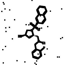 CCN(Cc1ccccc1F)C[C@@H]1C[C@@H](S)CN1S(=O)(=O)c1ccc2ccccc2c1